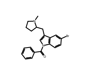 CN1CCCC1Cc1cn(C(=O)c2ccccc2)c2ccc(Br)cc12